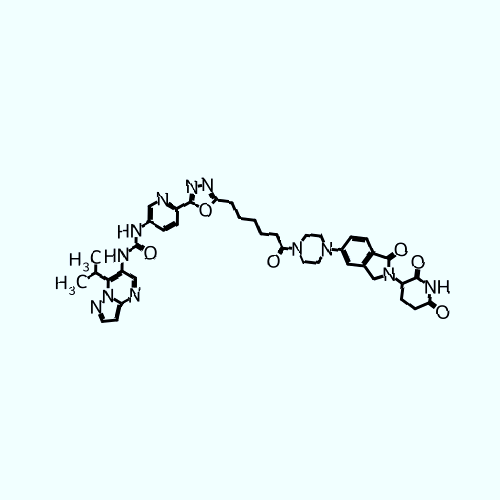 CC(C)c1c(NC(=O)Nc2ccc(-c3nnc(CCCCCC(=O)N4CCN(c5ccc6c(c5)CN(C5CCC(=O)NC5=O)C6=O)CC4)o3)nc2)cnc2ccnn12